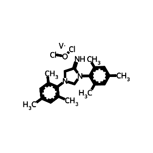 Cc1cc(C)c(N2CC(=N)N(c3c(C)cc(C)cc3C)C2)c(C)c1.ClOCl.[V]